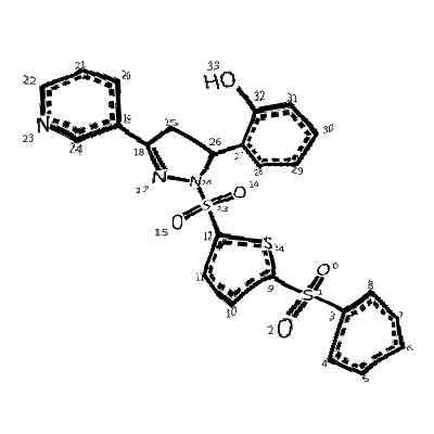 O=S(=O)(c1ccccc1)c1ccc(S(=O)(=O)N2N=C(c3cccnc3)CC2c2ccccc2O)s1